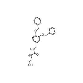 O=C(NCCO)NCc1ccc(OCc2ccccc2)c(OCc2ccccc2)c1